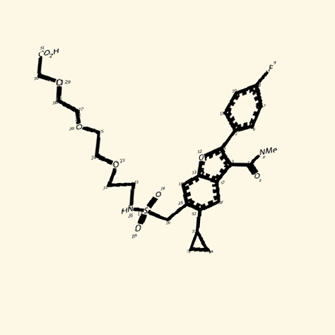 CNC(=O)c1c(-c2ccc(F)cc2)oc2cc(CS(=O)(=O)NCCOCCOCCOCC(=O)O)c(C3CC3)cc12